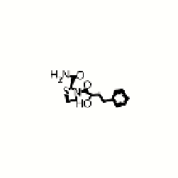 NC(=O)C1SCCN1C(=O)[C@H](O)[CH]Cc1ccccc1